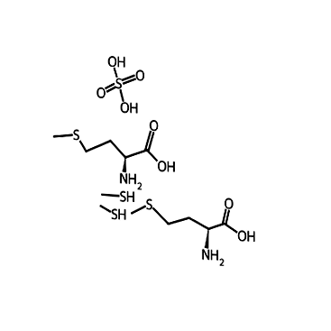 CS.CS.CSCC[C@H](N)C(=O)O.CSCC[C@H](N)C(=O)O.O=S(=O)(O)O